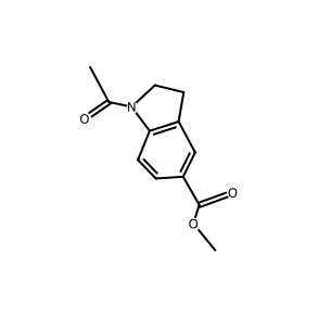 COC(=O)c1ccc2c(c1)CCN2C(C)=O